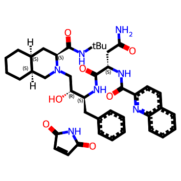 CC(C)(C)NC(=O)[C@@H]1C[C@@H]2CCCC[C@@H]2CN1C[C@@H](O)[C@H](Cc1ccccc1)NC(=O)[C@H](CC(N)=O)NC(=O)c1ccc2ccccc2n1.O=C1C=CC(=O)N1